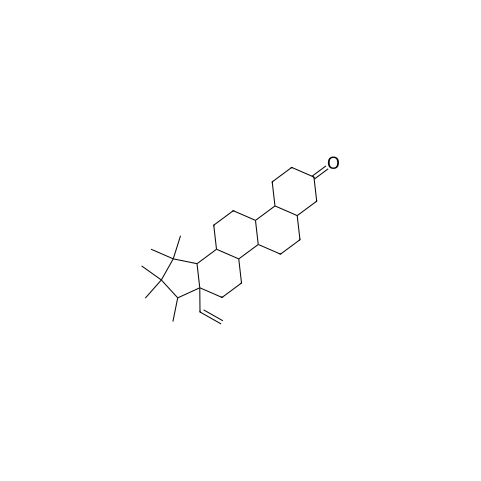 C=CC12CCC3C4CCC5CC(=O)CCC5C4CCC3C1C(C)(C)C(C)(C)C2C